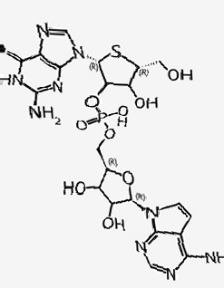 Nc1nc2c(ncn2[C@@H]2S[C@H](CO)C(O)C2OP(=O)(O)OC[C@H]2O[C@@H](n3ccc4c(N)ncnc43)C(O)C2O)c(=O)[nH]1